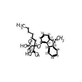 CCCCCCC(Oc1cccc2c1c1ccccc1n2C)(C(=O)O)S(=O)(=O)O